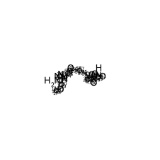 Nc1ncnc2c1c(-c1ccc(Oc3ccccc3)cc1)nn2C1CCN(C(=O)CCc2ccc(CCSc3cccc4c3C(=O)N(C3CCC(=O)NC3=O)C4=O)cc2)CC1